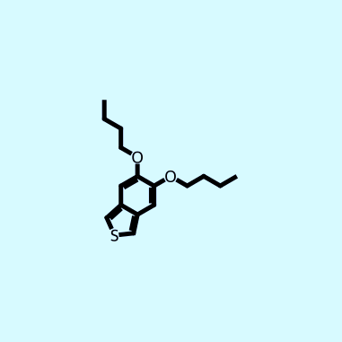 CCCCOc1cc2cscc2cc1OCCCC